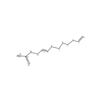 C=CCCCCC/C=C/CCC(=O)O